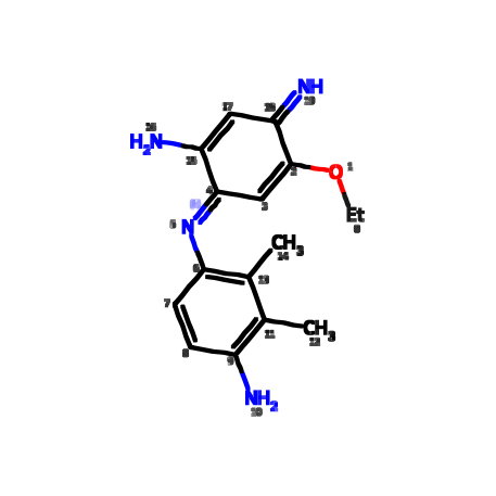 CCOC1=C/C(=N\c2ccc(N)c(C)c2C)C(N)=CC1=N